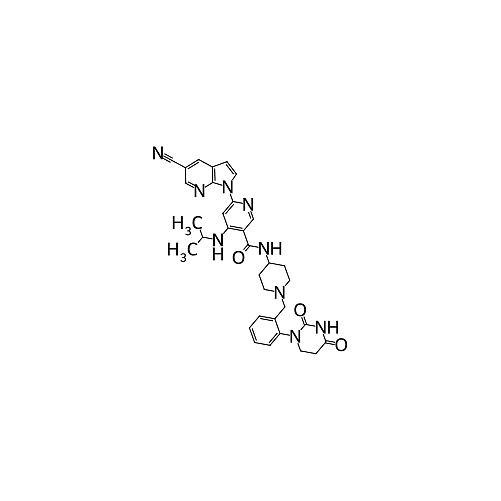 CC(C)Nc1cc(-n2ccc3cc(C#N)cnc32)ncc1C(=O)NC1CCN(Cc2ccccc2N2CCC(=O)NC2=O)CC1